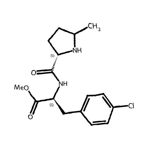 COC(=O)[C@H](Cc1ccc(Cl)cc1)NC(=O)[C@@H]1CCC(C)N1